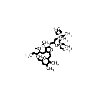 C=CC[C@H](O)CC1C(CC2OC(CC)CC(C)C2=C)O[C@H](CC(CO[Si](CC)(CC)CC)O[Si](CC)(CC)CC)[C@@H]1OC